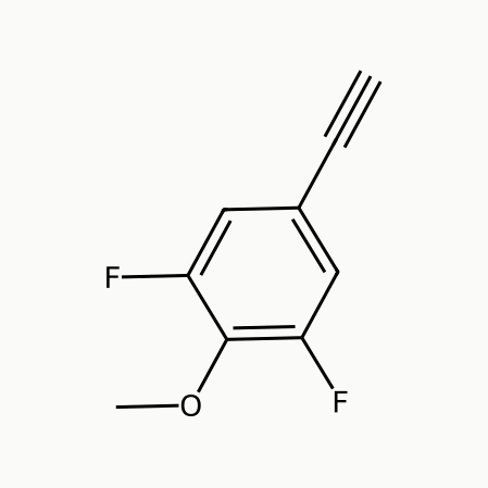 C#Cc1cc(F)c(OC)c(F)c1